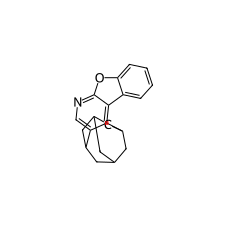 c1ccc2c(c1)oc1ncc3c(c12)C1CC2CC(CC3C2)C1